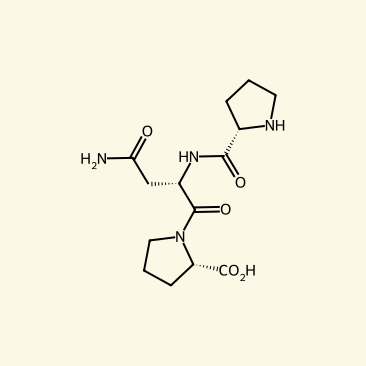 NC(=O)C[C@H](NC(=O)[C@@H]1CCCN1)C(=O)N1CCC[C@H]1C(=O)O